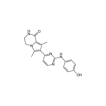 Cc1c(-c2ccnc(Nc3ccc(O)cc3)n2)c(C)n2c1C(=O)NCC2